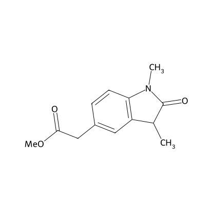 COC(=O)Cc1ccc2c(c1)C(C)C(=O)N2C